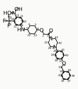 O=C(COC1CCC(Nc2ccc(N(O)O)c(C(F)(F)F)c2)CC1)N1CCN(c2ccc(OCc3ccccc3)cc2)CC1